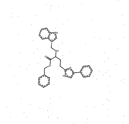 O=C(OCc1ccccc1)C(CCc1nc(-c2ccccc2)c[nH]1)NCc1c[nH]c2ccccc12